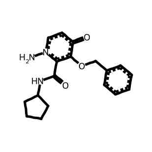 Nn1ccc(=O)c(OCc2ccccc2)c1C(=O)NC1CCCC1